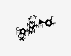 CCCSc1nc(N[C@@H]2C[C@H]2c2ccc(F)c(F)c2)c2nnn([C@H]3C[C@@H]([O])[C@@H]4OC(C)(C)O[C@@H]43)c2n1